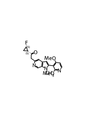 COc1ccnc(OC)c1-c1cc2cc(CC(=O)[C@@H]3C[C@@H]3F)ncc2n1C